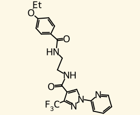 CCOc1ccc(C(=O)NCCNC(=O)c2cn(-c3ccccn3)nc2C(F)(F)F)cc1